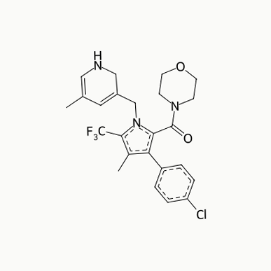 CC1=CNCC(Cn2c(C(=O)N3CCOCC3)c(-c3ccc(Cl)cc3)c(C)c2C(F)(F)F)=C1